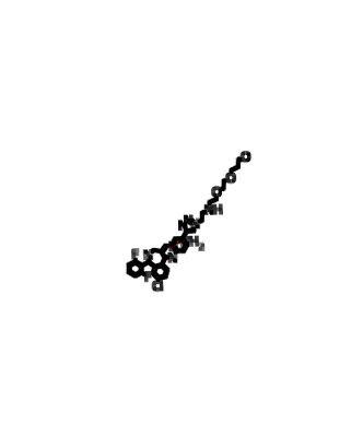 N/C=N/C=C1/CN=C(c2c(F)cccc2F)c2cc(Cl)ccc2/C1=N/c1ccc(-c2cn(CCNCCOCCOCCC=O)nn2)cc1